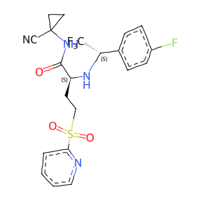 N#CC1(NC(=O)[C@H](CCS(=O)(=O)c2ccccn2)N[C@@H](c2ccc(F)cc2)C(F)(F)F)CC1